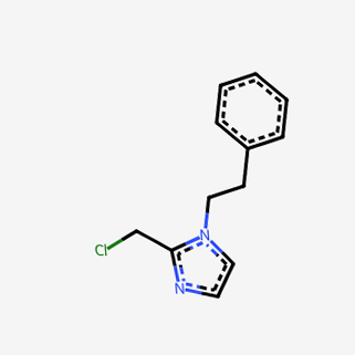 ClCc1nccn1CCc1ccccc1